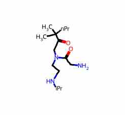 CCCC(C)(C)C(=O)CN(CCNC(C)C)C(=O)CN